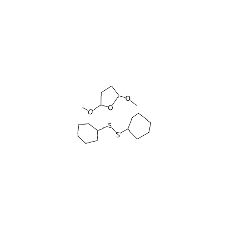 C1CCC(SSC2CCCCC2)CC1.COC1CCC(OC)O1